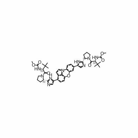 COC(=O)N[C@H](C(=O)N1CCC[C@H]1c1ncc(-c2ccc3c(c2)Oc2ccc(-c4cnc([C@@H]5CCCN5C(=O)[C@@H](NC(=O)OC)C(C)(C)C)[nH]4)c4ccn-3c24)[nH]1)C(C)(C)C